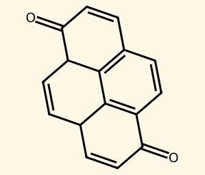 O=C1C=CC2C=CC3C(=O)C=Cc4ccc1c2c43